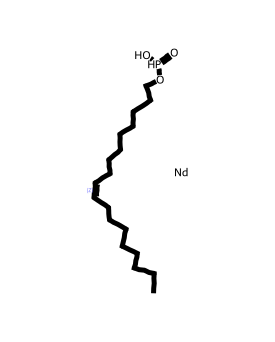 CCCCCCCC/C=C\CCCCCCCCO[PH](=O)O.[Nd]